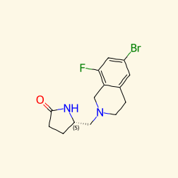 O=C1CC[C@@H](CN2CCc3cc(Br)cc(F)c3C2)N1